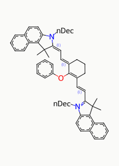 CCCCCCCCCCN1/C(=C/C=C2\CCCC(/C=C/C3=[N+](CCCCCCCCCC)c4ccc5ccccc5c4C3(C)C)=C2Oc2ccccc2)C(C)(C)c2c1ccc1ccccc21